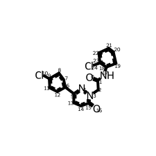 O=C(Cn1nc(-c2ccc(Cl)cc2)ccc1=O)Nc1ccccc1Cl